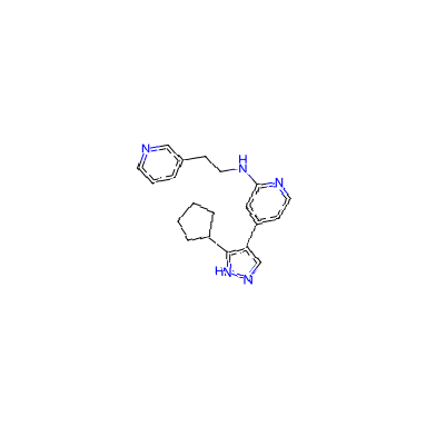 c1cncc(CCNc2cc(-c3cn[nH]c3C3CCCC3)ccn2)c1